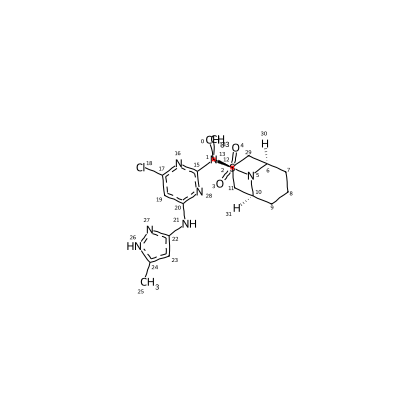 CCS(=O)(=O)N1[C@@H]2CCC[C@H]1C[C@@H](N(C)c1nc(Cl)cc(Nc3cc(C)[nH]n3)n1)C2